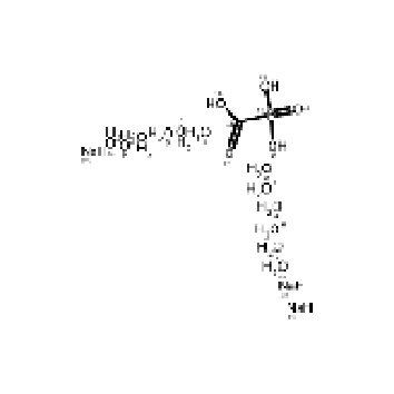 O.O.O.O.O.O.O.O.O.O.O.O.O=C(O)P(=O)(O)O.[NaH].[NaH].[NaH]